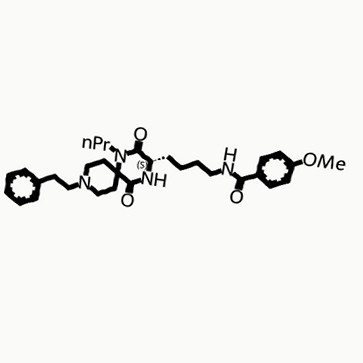 CCCN1C(=O)[C@H](CCCCNC(=O)c2ccc(OC)cc2)NC(=O)C12CCN(CCc1ccccc1)CC2